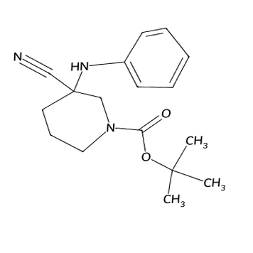 CC(C)(C)OC(=O)N1CCCC(C#N)(Nc2ccccc2)C1